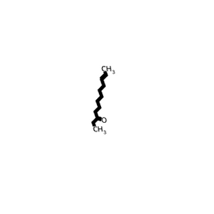 CC=CCCCCCCC(=O)CC